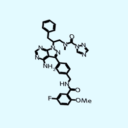 COc1ccc(F)cc1C(=O)NCc1ccc(-c2nn(C(Cc3ccccc3)CN(C)C(=O)n3cncn3)c3ncnc(N)c23)cc1